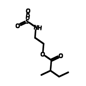 CCC(C)C(=O)OCCN[SH](=O)=O